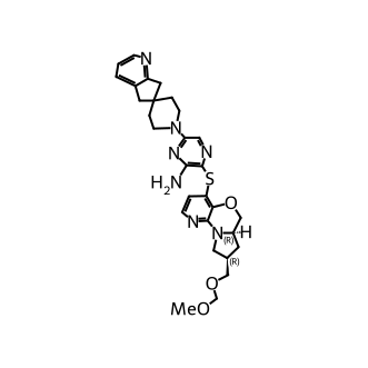 COCOC[C@@H]1C[C@@H]2COc3c(Sc4ncc(N5CCC6(CC5)Cc5cccnc5C6)nc4N)ccnc3N2C1